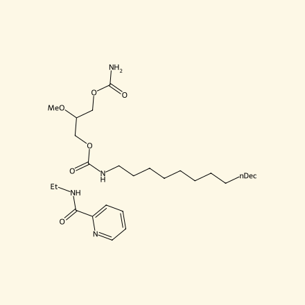 CCCCCCCCCCCCCCCCCCNC(=O)OCC(COC(N)=O)OC.CCNC(=O)c1ccccn1